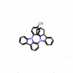 N#Cc1ccc(-n2c3ccccc3c3cccc(N4C5=CC=CCC5c5ccccc54)c32)cc1